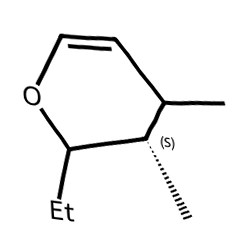 CCC1OC=CC(C)[C@@H]1C